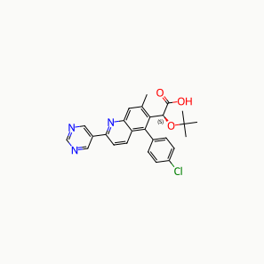 Cc1cc2nc(-c3cncnc3)ccc2c(-c2ccc(Cl)cc2)c1[C@H](OC(C)(C)C)C(=O)O